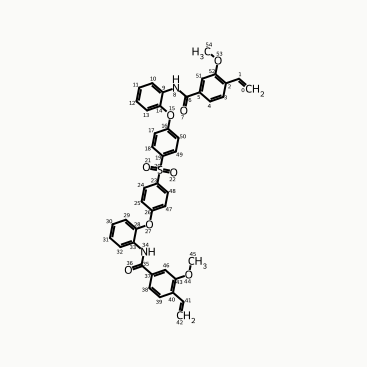 C=Cc1ccc(C(=O)Nc2ccccc2Oc2ccc(S(=O)(=O)c3ccc(Oc4ccccc4NC(=O)c4ccc(C=C)c(OC)c4)cc3)cc2)cc1OC